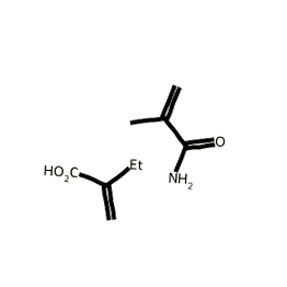 C=C(C)C(N)=O.C=C(CC)C(=O)O